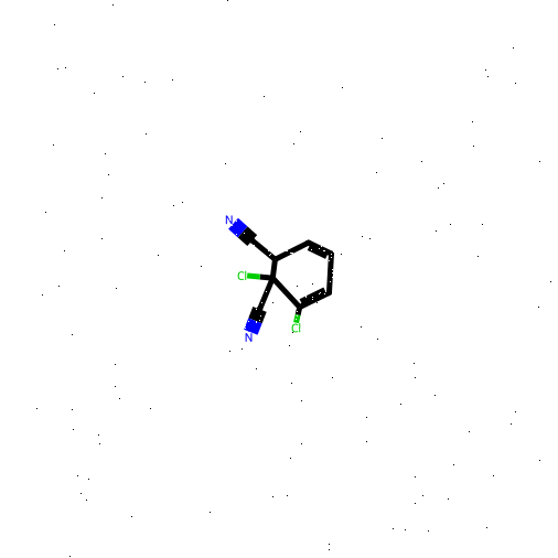 N#CC1C=CC=C(Cl)C1(Cl)C#N